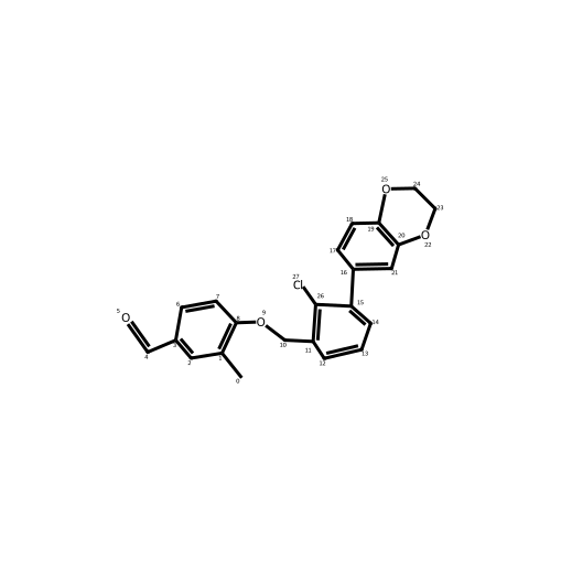 Cc1cc(C=O)ccc1OCc1cccc(-c2ccc3c(c2)OCCO3)c1Cl